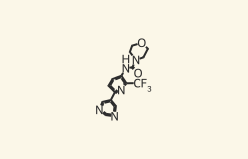 O=C(Nc1ccc(-c2cncnc2)nc1C(F)(F)F)N1CCOCC1